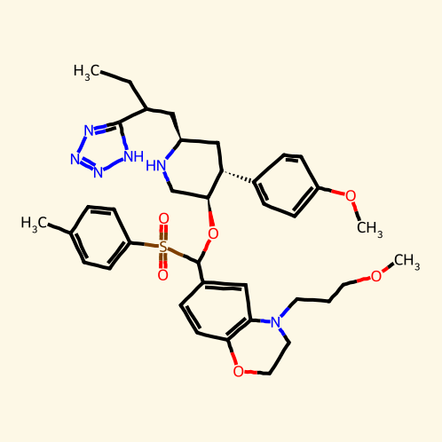 CCC(C[C@H]1C[C@H](c2ccc(OC)cc2)[C@@H](OC(c2ccc3c(c2)N(CCCOC)CCO3)S(=O)(=O)c2ccc(C)cc2)CN1)c1nnn[nH]1